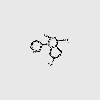 Nc1nc(=O)n(-c2cccnc2)c2cc(C(F)(F)F)ccc12